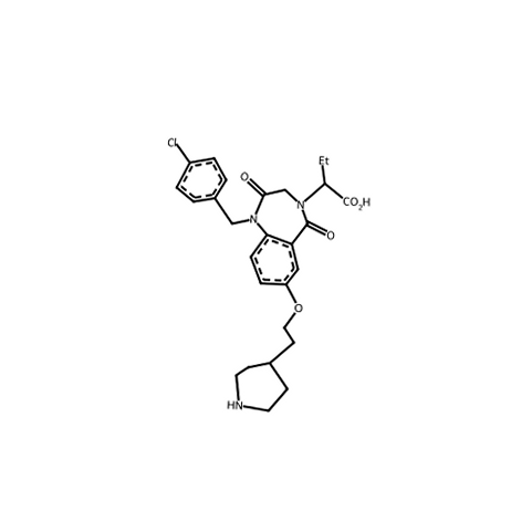 CCC(C(=O)O)N1CC(=O)N(Cc2ccc(Cl)cc2)c2ccc(OCCC3CCNCC3)cc2C1=O